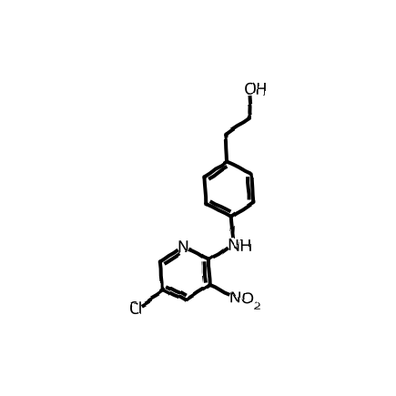 O=[N+]([O-])c1cc(Cl)cnc1Nc1ccc(CCO)cc1